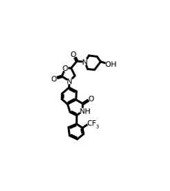 O=C(C1CN(c2ccc3cc(-c4ccccc4C(F)(F)F)[nH]c(=O)c3c2)C(=O)O1)N1CCC(O)CC1